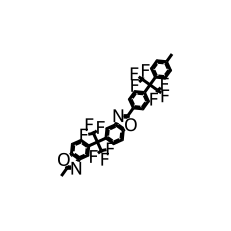 Cc1ccc(C(c2ccc(-c3nc4cc(C(c5ccc6oc(C)nc6c5)(C(F)(F)F)C(F)(F)F)ccc4o3)cc2)(C(F)(F)F)C(F)(F)F)cc1